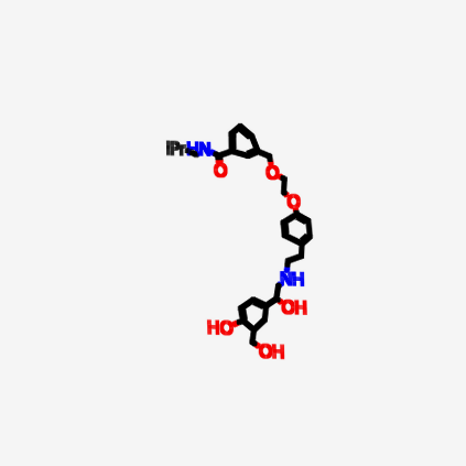 CC(C)CNC(=O)c1cccc(COCCOc2ccc(CCNCC(O)C3=CC=C(O)C(CO)C3)cc2)c1